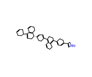 C1=CC2=C(C3=CC=C([C@@H]4CC=C(C5CC=CCC5)C5=C4CCC=C5)CC3)CCC(C3=CC=C(C4=CNC4)CC3)=C2CC1